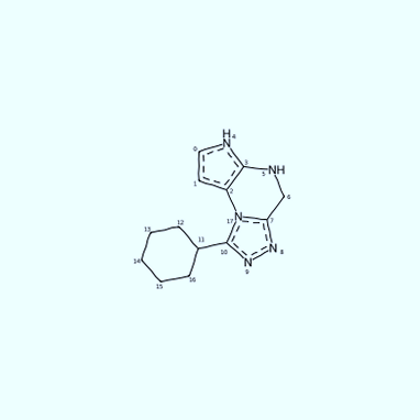 c1cc2c([nH]1)NCc1nnc(C3CCCCC3)n1-2